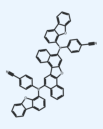 N#Cc1ccc(N(c2cc3c(oc4cc(N(c5ccc(C#N)cc5)c5cccc6c5oc5ccccc56)c5ccccc5c43)c3ccccc23)c2cccc3c2oc2ccccc23)cc1